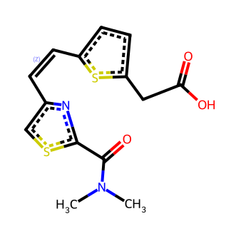 CN(C)C(=O)c1nc(/C=C\c2ccc(CC(=O)O)s2)cs1